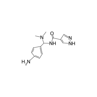 CN(C)C(NC(=O)c1cn[nH]c1)c1ccc(N)cc1